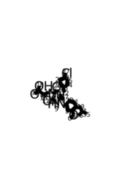 COc1cc(NC2(C)N(C)C(=O)N(C[C@H](C)C(=O)O)C(=O)N2Cc2ccc(Cl)cc2)ccc1CC(C)C